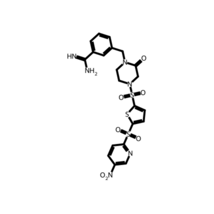 N=C(N)c1cccc(CN2CCN(S(=O)(=O)c3ccc(S(=O)(=O)c4ccc([N+](=O)[O-])cn4)s3)CC2=O)c1